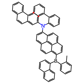 Cc1ccccc1B(c1cccc2ccccc12)c1ccc2ccc3c(N(c4ccc5c(ccc6ccccc65)c4)c4ccccc4-c4ccccc4)ccc4ccc1c2c43